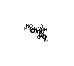 COc1ccc2c(c1)C(=O)N(C[C@@]1(c3cc4cc(NC(=O)N(C)C)ccc4o3)NC(=O)NC1=O)C2